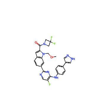 COCn1c(C(=O)N2CC(F)(F)C2)cc2ccc(-c3ncc(F)c(Nc4ccc(-c5cn[nH]c5)cc4)n3)cc21